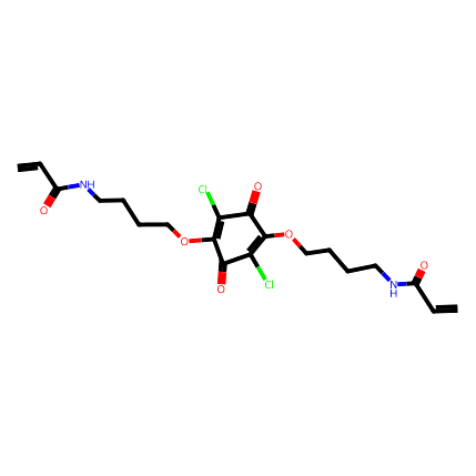 C=CC(=O)NCCCCOC1=C(Cl)C(=O)C(OCCCCNC(=O)C=C)=C(Cl)C1=O